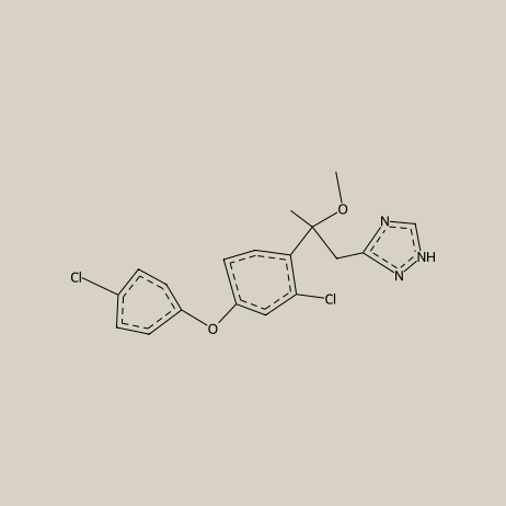 COC(C)(Cc1nc[nH]n1)c1ccc(Oc2ccc(Cl)cc2)cc1Cl